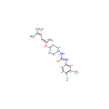 C/C(=C\C=C(/C)C(=O)O)OC1CCC(NC(=O)Nc2ccc(Cl)c(C(F)(F)F)c2)CC1